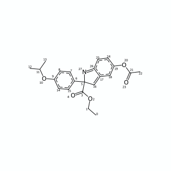 CCOC(=O)C1(c2ccc(OC(C)C)cc2)C=c2cc(OC(C)=O)ccc2=N1